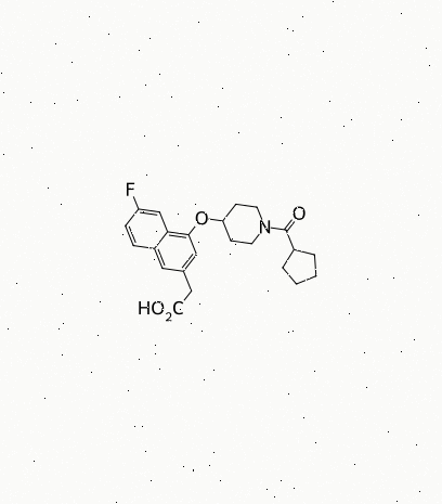 O=C(O)Cc1cc(OC2CCN(C(=O)C3CCCC3)CC2)c2cc(F)ccc2c1